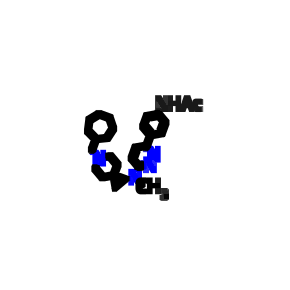 CC(=O)Nc1ccc(-c2ccc(N(C)[C@@H]3CC34CCN(CC3CCCCCC3)CC4)nn2)cc1